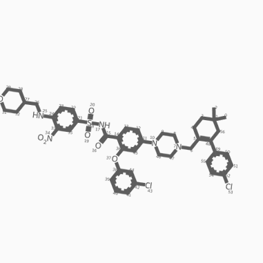 CC1(C)CCC(CN2CCN(c3ccc(C(=O)NS(=O)(=O)c4ccc(NCC5CCOCC5)c([N+](=O)[O-])c4)c(Oc4cccc(Cl)c4)c3)CC2)=C(c2ccc(Cl)cc2)C1